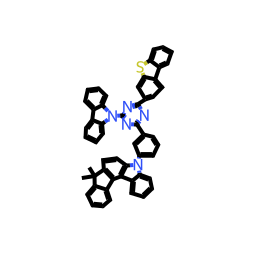 CC1(C)c2ccccc2-c2c1ccc1c2c2ccccc2n1-c1cccc(-c2nc(-c3ccc4c(c3)sc3ccccc34)nc(-n3c4ccccc4c4ccccc43)n2)c1